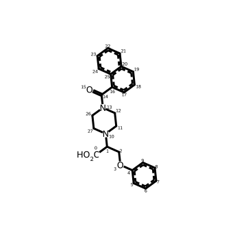 O=C(O)C(COc1ccccc1)N1CCN(C(=O)c2cccc3ccccc23)CC1